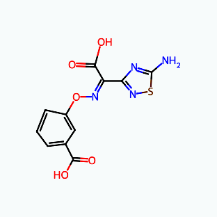 Nc1nc(C(=NOc2cccc(C(=O)O)c2)C(=O)O)ns1